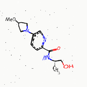 COC1CN(c2ccc(C(=O)N[C@@H](C)CO)nc2)C1